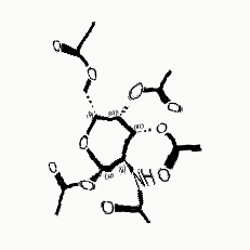 CC(=O)N[C@H]1[C@@H](OC(C)=O)O[C@H](COC(C)=O)[C@H](OC(C)=O)[C@@H]1OC(C)=O